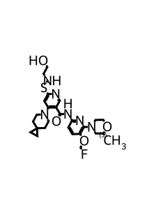 C[C@H]1CN(c2nc(NC(=O)c3cnc(SNCCO)cc3N3CCC4(CC3)CC4)ccc2OCF)CCO1